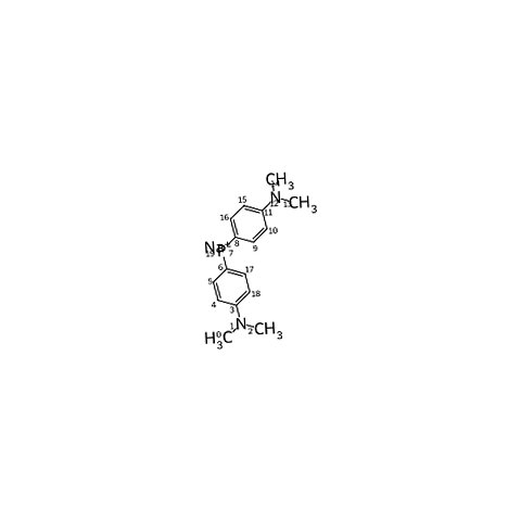 CN(C)c1ccc([P-]c2ccc(N(C)C)cc2)cc1.[Na+]